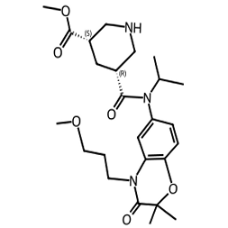 COCCCN1C(=O)C(C)(C)Oc2ccc(N(C(=O)[C@H]3CNC[C@@H](C(=O)OC)C3)C(C)C)cc21